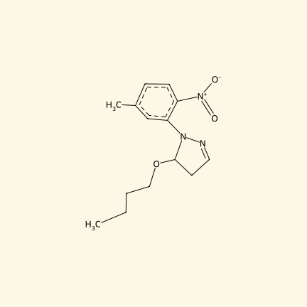 CCCCOC1CC=NN1c1cc(C)ccc1[N+](=O)[O-]